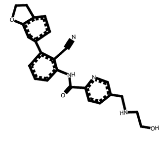 N#Cc1c(NC(=O)c2ccc(CNCCO)cn2)cccc1-c1ccc2c(c1)OCC2